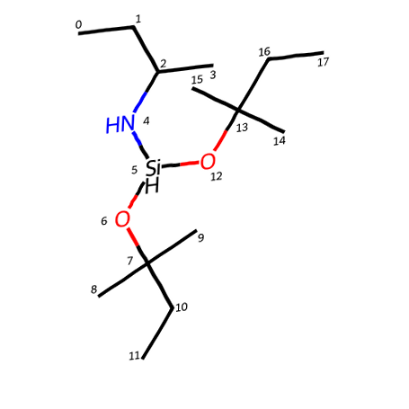 CCC(C)N[SiH](OC(C)(C)CC)OC(C)(C)CC